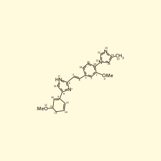 COc1cc(/C=C/c2nc(C3=CC(OC)CC=C3)c[nH]2)ccc1-n1cnc(C)c1